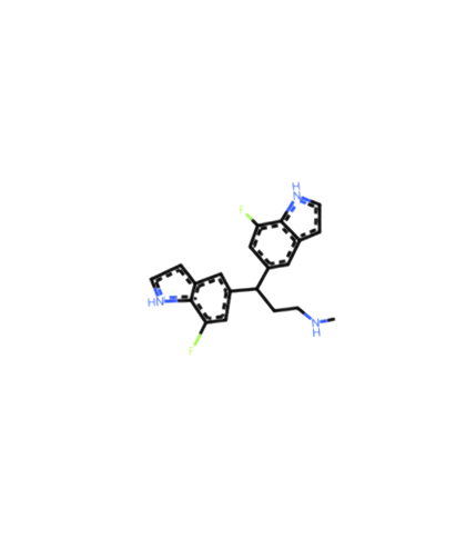 CNCCC(c1cc(F)c2[nH]ccc2c1)c1cc(F)c2[nH]ccc2c1